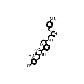 Cc1ccc(Cn2cncc2CNC2CCOc3c(C(=O)NC(Cc4ccc(Cl)cc4)C(N)=O)cccc32)cc1